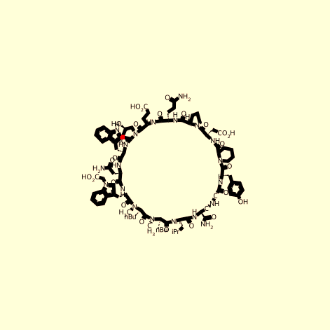 CCCC[C@H]1C(=O)N(C)[C@@H](CCCC)C(=O)N[C@@H](CC(C)C)C(=O)N[C@H](C(N)=O)CNCC(=O)N[C@@H](Cc2ccc(O)cc2)C(=O)N2CCCC[C@H]2C(=O)N[C@@H](CC(=O)O)C(=O)N2CCC[C@H]2C(=O)N[C@@H](CCC(N)=O)C(=O)NC(CCC(=O)O)C(=O)N2C[C@H](O)CC2(C=O)N[C@@H](Cc2c[nH]c3ccccc23)C(=O)N[C@@H](CC(N)=O)C(=O)N[C@@H](Cc2cn(CC(=O)O)c3ccccc23)C(=O)N1C